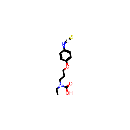 CCN(CCCOc1ccc(N=C=S)cc1)C(=O)O